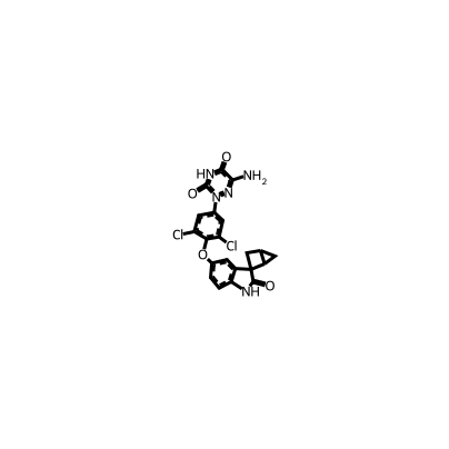 Nc1nn(-c2cc(Cl)c(Oc3ccc4c(c3)C3(CC5CC53)C(=O)N4)c(Cl)c2)c(=O)[nH]c1=O